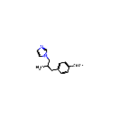 COc1ccc(CC(C)Cn2ccnc2)cc1